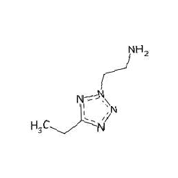 CCc1nnn(CCN)n1